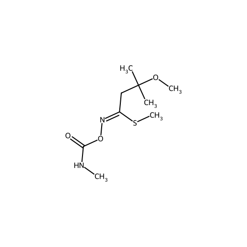 CNC(=O)ON=C(CC(C)(C)OC)SC